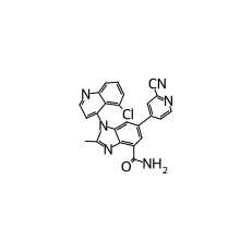 Cc1nc2c(C(N)=O)cc(-c3ccnc(C#N)c3)cc2n1-c1ccnc2cccc(Cl)c12